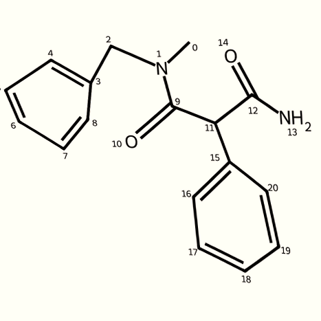 CN(Cc1ccccc1)C(=O)C(C(N)=O)c1ccccc1